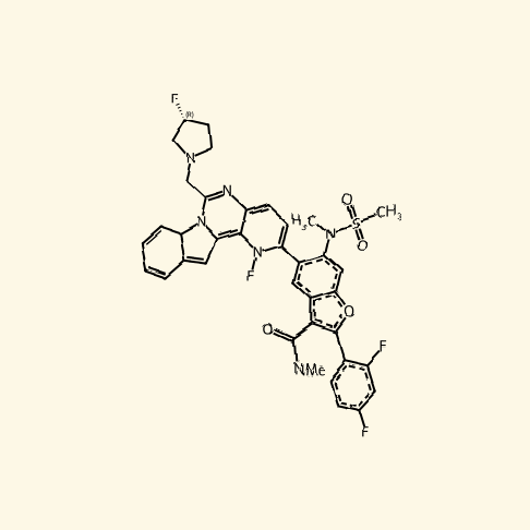 CNC(=O)c1c(-c2ccc(F)cc2F)oc2cc(N(C)S(C)(=O)=O)c(C3=CC=C4N=C(CN5CC[C@@H](F)C5)N5C(=C4N3F)C=C3C=CC=CC35)cc12